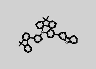 CC1(C)c2ccccc2-c2c(-c3cccc(N(c4ccc(-c5ccc6c(c5)oc5ccccc56)cc4)c4cccc5c4-c4ccccc4C5(C)C)c3)cccc21